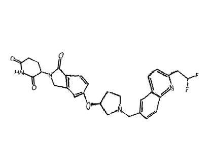 O=C1CCC(N2Cc3cc(O[C@H]4CCN(Cc5ccc6nc(CC(F)F)ccc6c5)C4)ccc3C2=O)C(=O)N1